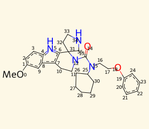 COc1ccc2[nH]c3c(c2c1)CCN(C(=O)N(CCOc1ccccc1)C1CCCCC1)C31CCNC1